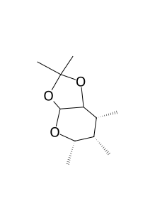 C[C@@H]1[C@H](C)OC2OC(C)(C)OC2[C@@H]1C